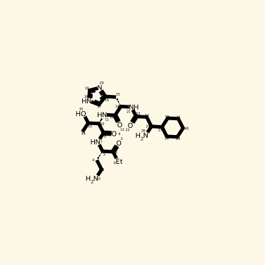 CCC(=O)[C@H](CCN)NC(=O)[C@@H](NC(=O)[C@H](Cc1c[nH]cn1)NC(=O)CC(N)C1CCCCC1)C(C)O